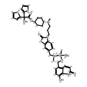 CN(CCCn1c(=O)sc2cc(CNC[C@H](O[Si](C)(C)C(C)(C)C)c3ccc(O)c4[nH]c(=O)ccc34)ccc21)[C@H]1CC[C@H](OC(=O)C(O)(c2cccs2)c2cccs2)CC1